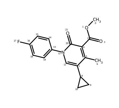 COC(=O)c1c(C)c(C2CC2)cn(-c2ccc(F)cc2)c1=O